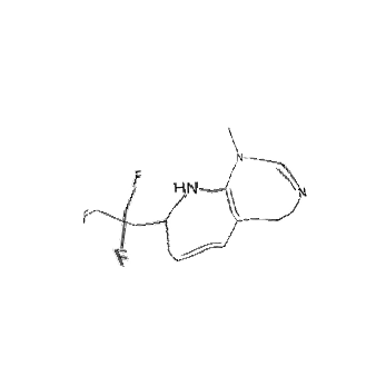 CN1C=NCC2=C1NC(C(F)(F)F)C=C2